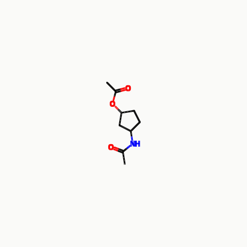 CC(=O)NC1CCC(OC(C)=O)C1